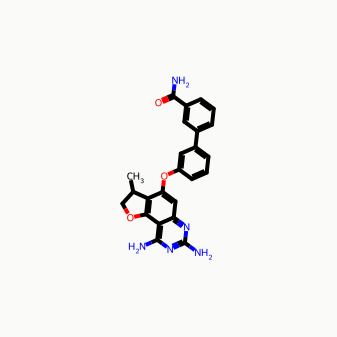 CC1COc2c1c(Oc1cccc(-c3cccc(C(N)=O)c3)c1)cc1nc(N)nc(N)c21